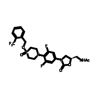 CC(=O)NC[C@H]1CN(c2cc(F)c(N3CCP(=O)(OCc4ccccc4C(F)(F)F)CC3)c(F)c2)C(=O)O1